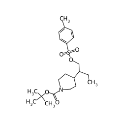 CCC(COS(=O)(=O)c1ccc(C)cc1)C1CCN(C(=O)OC(C)(C)C)CC1